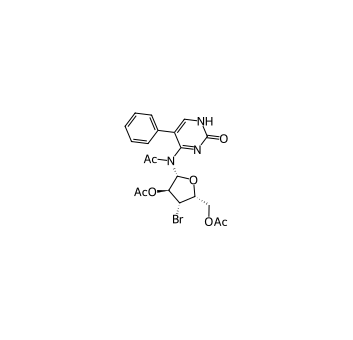 CC(=O)OC[C@H]1O[C@@H](N(C(C)=O)c2nc(=O)[nH]cc2-c2ccccc2)[C@H](OC(C)=O)[C@H]1Br